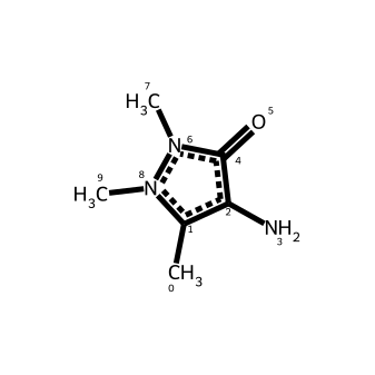 Cc1c(N)c(=O)n(C)n1C